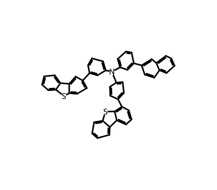 c1cc(-c2ccc3ccccc3c2)cc(N(c2ccc(-c3cccc4c3sc3ccccc34)cc2)c2cccc(-c3ccc4sc5ccccc5c4c3)c2)c1